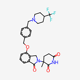 CC1(N2Cc3c(OCc4ccc(CN5CCC(C(F)(F)F)CC5)cc4)cccc3C2=O)CCC(=O)NC1=O